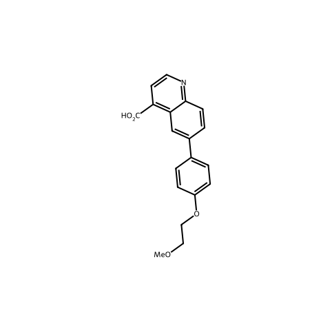 COCCOc1ccc(-c2ccc3nccc(C(=O)O)c3c2)cc1